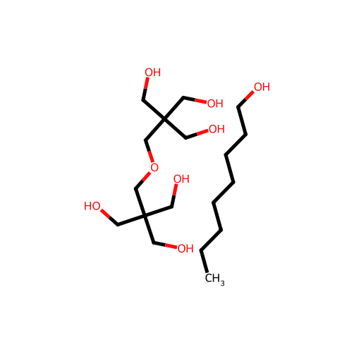 CCCCCCCCO.OCC(CO)(CO)COCC(CO)(CO)CO